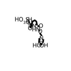 O=C(NOCCN1CCS(O)(O)CC1)[C@@H]1CC[C@@H]2CN1C(=O)N2OS(=O)(=O)O